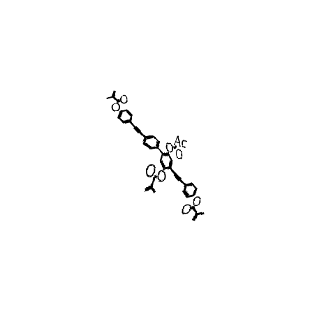 C=C(C)C(=O)Oc1ccc(C#Cc2ccc(-c3cc(OC(=O)C(=C)C)c(C#Cc4ccc(OC(=O)C(=C)C)cc4)cc3OC(=O)C(C)=O)cc2)cc1